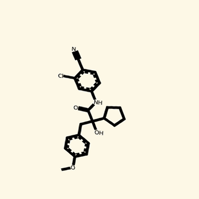 COc1ccc(CC(O)(C(=O)Nc2ccc(C#N)c(Cl)c2)C2CCCC2)cc1